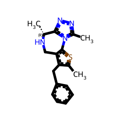 Cc1sc2c(c1Cc1ccccc1)CN[C@H](C)c1nnc(C)n1-2